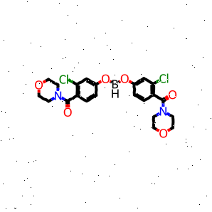 O=C(c1ccc(OBOc2ccc(C(=O)N3CCOCC3)c(Cl)c2)cc1Cl)N1CCOCC1